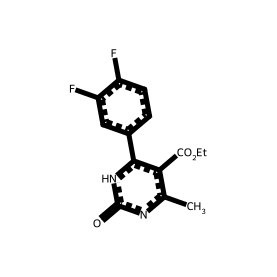 CCOC(=O)c1c(C)nc(=O)[nH]c1-c1ccc(F)c(F)c1